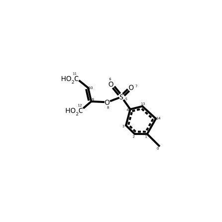 Cc1ccc(S(=O)(=O)OC(=CC(=O)O)C(=O)O)cc1